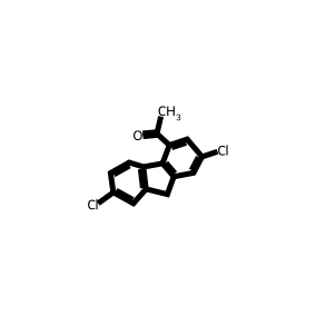 CC(=O)c1cc(Cl)cc2c1-c1ccc(Cl)cc1C2